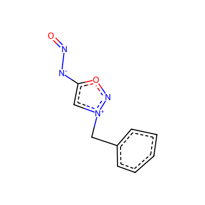 O=N[N-]c1c[n+](Cc2ccccc2)no1